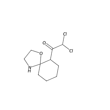 O=C(C(Cl)Cl)C1CCCCC12NCCO2